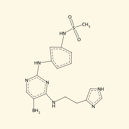 Bc1cnc(Nc2cccc(NS(C)(=O)=O)c2)nc1NCCc1c[nH]cn1